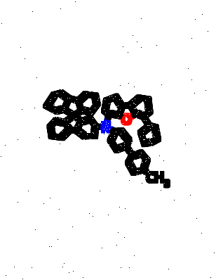 Cc1ccc(-c2ccc(N(c3ccc4c(c3)C3(c5ccccc5-c5ccccc53)c3ccccc3-4)c3cccc4c3oc3c(-c5ccccc5)cccc34)cc2)cc1